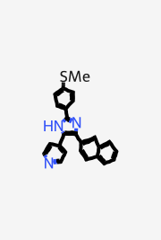 CSc1ccc(-c2nc(-c3ccc4ccccc4c3)c(-c3ccncc3)[nH]2)cc1